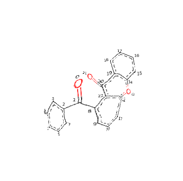 O=C(c1ccccc1)c1cccc2oc3ccccc3c(=O)c12